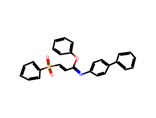 O=S(=O)(C=CC(=Nc1ccc(-c2ccccc2)cc1)Oc1ccccc1)c1ccccc1